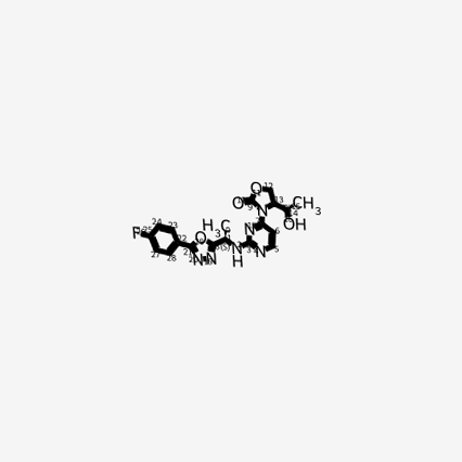 C[C@H](Nc1nccc(N2C(=O)OCC2[C@@H](C)O)n1)c1nnc(-c2ccc(F)cc2)o1